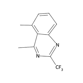 Cc1cccc2nc(C(F)(F)F)nc(C)c12